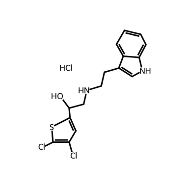 Cl.OC(CNCCc1c[nH]c2ccccc12)c1cc(Cl)c(Cl)s1